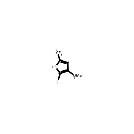 COc1cc(C(F)(F)F)sc1I